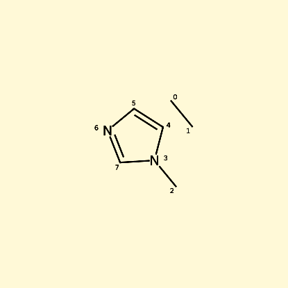 CC.Cn1ccnc1